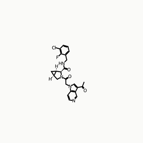 CC(=O)c1cn(CC(=O)N2C[C@H]3C[C@H]3[C@H]2C(=O)NCc2cccc(Cl)c2F)c2ccncc12